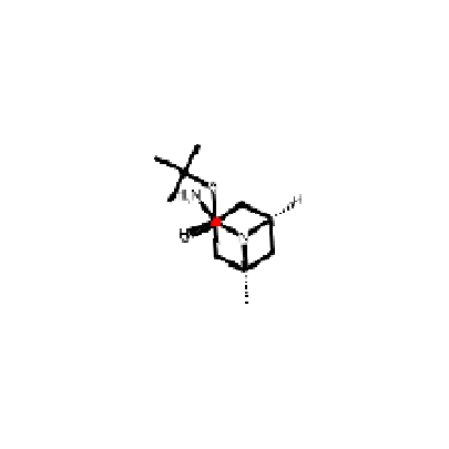 CC(C)(C)OC(=O)N1[C@H]2C[C@@H](N)C[C@]1(C)C2